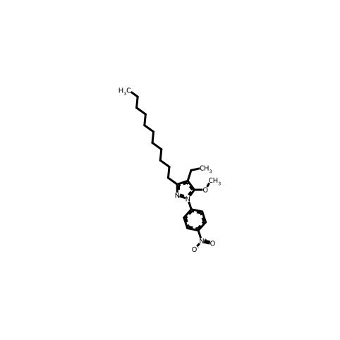 CCCCCCCCCCCc1nn(-c2ccc([N+](=O)[O-])cc2)c(OC)c1CC